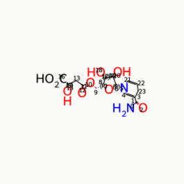 NC(=O)C1=CN([C@@H]2O[C@H](COC(=O)C[C@H](O)C(=O)O)[C@@H](O)[C@H]2O)C=CC1